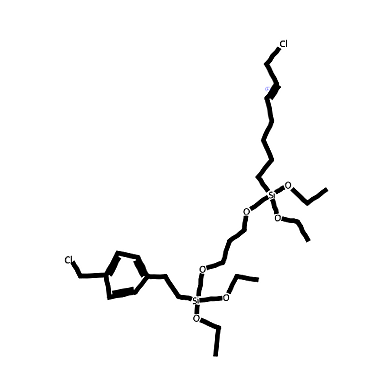 CCO[Si](CCCC/C=C/CCl)(OCC)OCCCO[Si](CCc1ccc(CCl)cc1)(OCC)OCC